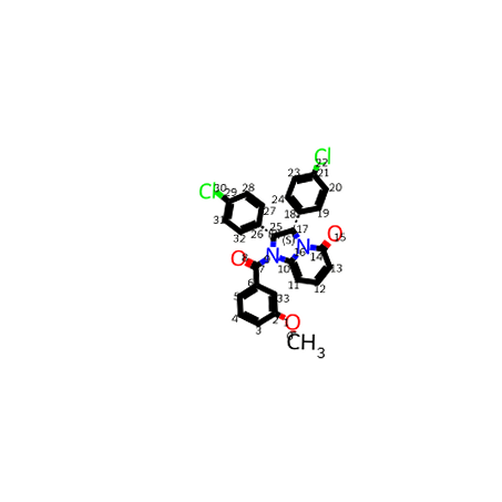 COc1cccc(C(=O)N2c3cccc(=O)n3[C@@H](c3ccc(Cl)cc3)[C@H]2c2ccc(Cl)cc2)c1